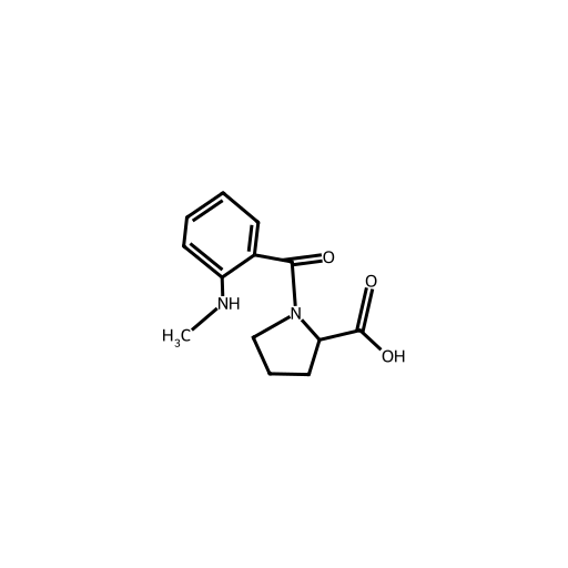 CNc1ccccc1C(=O)N1CCCC1C(=O)O